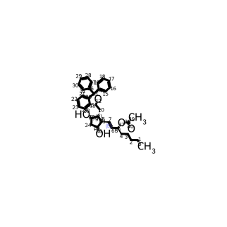 CCCCC[C@@H](/C=C/[C@@H]1[C@@H](CCOC(c2ccccc2)(c2ccccc2)c2ccccc2)[C@H](O)C[C@@H]1O)OC(C)=O